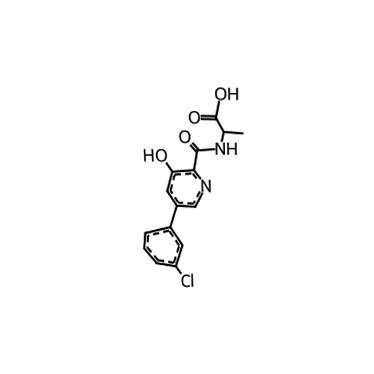 CC(NC(=O)c1ncc(-c2cccc(Cl)c2)cc1O)C(=O)O